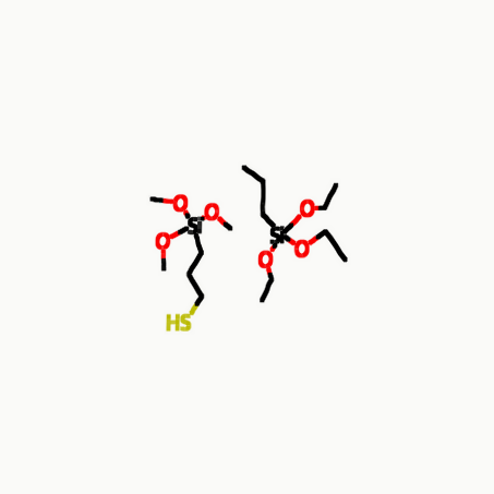 CCC[Si](OCC)(OCC)OCC.CO[Si](CCCS)(OC)OC